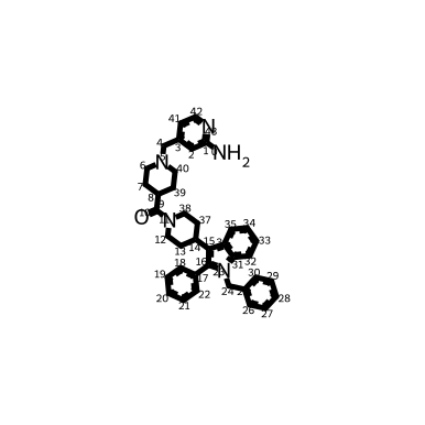 Nc1cc(CN2CCC(C(=O)N3CCC(c4c(-c5ccccc5)n(Cc5ccccc5)c5ccccc45)CC3)CC2)ccn1